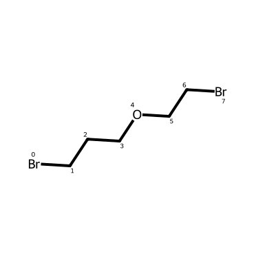 BrCCCOCCBr